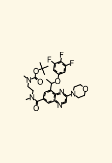 CC(Oc1cc(F)c(F)c(F)c1)c1cc(C(=O)N(C)CCN(C)C(=O)OC(C)(C)C)cc2ncc(N3CCOCC3)nc12